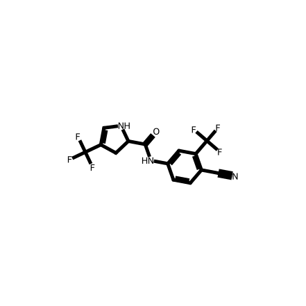 N#Cc1ccc(NC(=O)C2CC(C(F)(F)F)=CN2)cc1C(F)(F)F